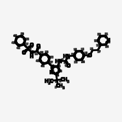 CC(C)(C)c1cc(NC(=O)Nc2ccc(OCCc3cccnc3)cc2)n(-c2ccc(C(=O)NS(=O)(=O)c3ccccc3)cc2)n1